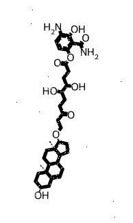 C[C@@]12CC[C@@H](O)CC1=CCC1C2CC[C@]2(C)C1CC[C@H]2OCCC(=O)CCC(O)C(O)CCC(=O)Oc1ccc(N)c(O)c1C(N)=O